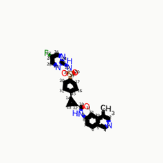 Cc1cncc2ccc(NC(=O)[C@@H]3C[C@H]3c3ccc(S(=O)(=O)Nc4ncc(F)cn4)cc3)cc12